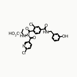 C[C@H](NN(C(=O)c1ccc(Cl)nc1)C(=O)c1ccc(C(=O)NCc2cccc(O)c2)cc1Cl)C(=O)O